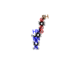 Cc1nc(N2CCC(N(C)C)CC2)nc2ccc(NC(=O)COc3ccc(OCS)cc3)cc12